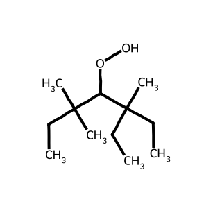 CCC(C)(C)C(OO)C(C)(CC)CC